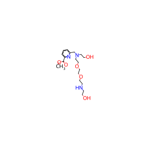 COC(=O)c1cccc(CN(CCO)CCOCCOCCNCCO)n1